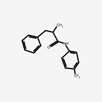 CC(Cc1ccccc1)C(=O)Nc1ccc(C(F)(F)F)cc1